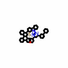 c1ccc(-c2cccc(-c3cc(-c4ccccc4)nc(-n4c5ccccc5c5ccc6c(sc7c6c6ccccc6c6c8ccccc8c8ccccc8c76)c54)n3)c2)cc1